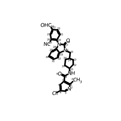 Cc1ncc(Cl)cc1C(=O)NC1CCC(Cn2c(=O)n(-c3ccc(C=O)cc3C#N)c3ccccc32)CC1